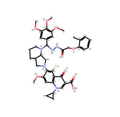 COc1cc(C(NNC(=O)COc2ccccc2C)N2CCCC3CN(c4c(OC)cc5c(c4F)c(=O)c(C(=O)O)cn5C4CC4)CC32)cc(OC)c1OC